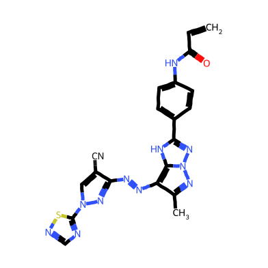 C=CC(=O)Nc1ccc(-c2nn3nc(C)c(N=Nc4nn(-c5ncns5)cc4C#N)c3[nH]2)cc1